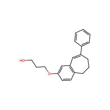 OCCCOc1ccc2c(c1)C=C(c1ccccc1)CCC2